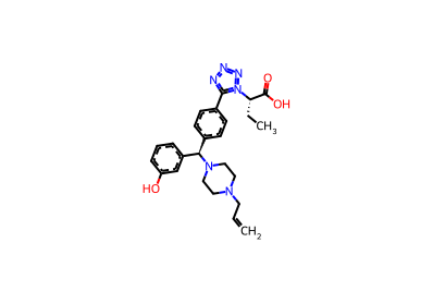 C=CCN1CCN([C@H](c2ccc(-c3nnnn3[C@@H](CC)C(=O)O)cc2)c2cccc(O)c2)CC1